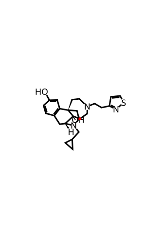 Oc1ccc2c(c1)[C@@]13CCN(CCc4ccsn4)CC[C@@]1(O)[C@@H](C2)N(CC1CC1)CC3